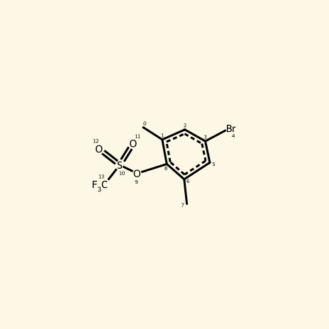 Cc1cc(Br)cc(C)c1OS(=O)(=O)C(F)(F)F